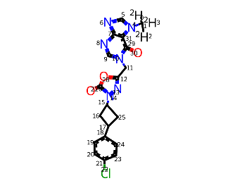 [2H]C([2H])([2H])n1cnc2ncn(Cc3nn(C4CC(c5ccc(Cl)cc5)C4)c(=O)o3)c(=O)c21